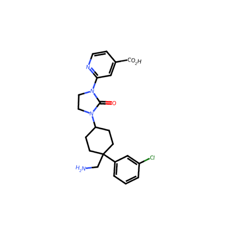 NCC1(c2cccc(Cl)c2)CCC(N2CCN(c3cc(C(=O)O)ccn3)C2=O)CC1